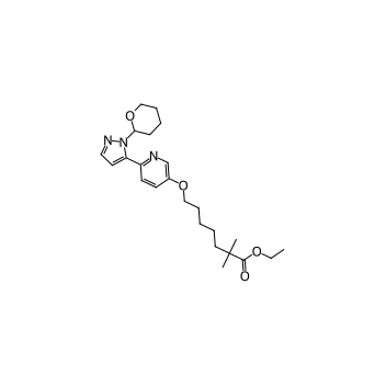 CCOC(=O)C(C)(C)CCCCCOc1ccc(-c2ccnn2C2CCCCO2)nc1